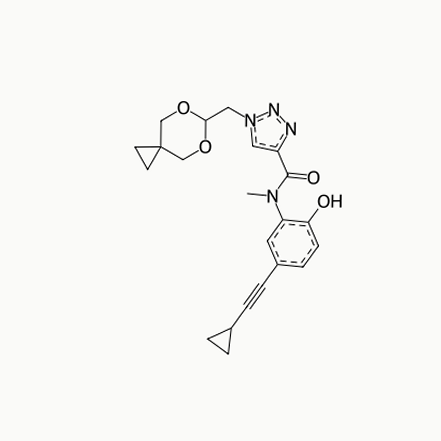 CN(C(=O)c1cn(CC2OCC3(CC3)CO2)nn1)c1cc(C#CC2CC2)ccc1O